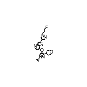 FCCCn1cc(-c2cc3nccc(Oc4cn(C5CC5)nc4C4CCOCC4)c3s2)cn1